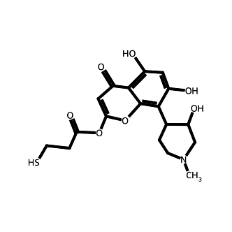 CN1CCC(c2c(O)cc(O)c3c(=O)cc(OC(=O)CCS)oc23)C(O)C1